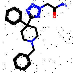 NC(=O)Cn1nnc(C2(c3ccccc3)CCN(Cc3ccccc3)CC2)n1